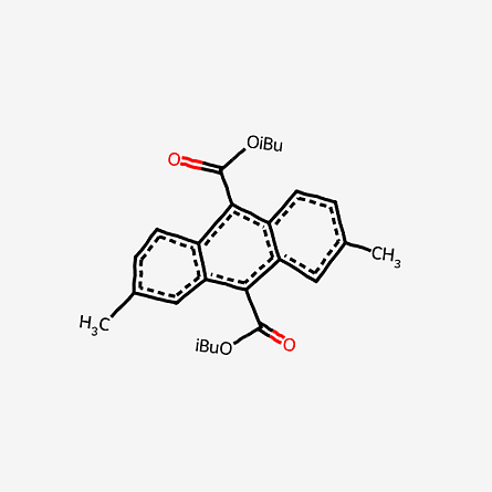 Cc1ccc2c(C(=O)OCC(C)C)c3ccc(C)cc3c(C(=O)OCC(C)C)c2c1